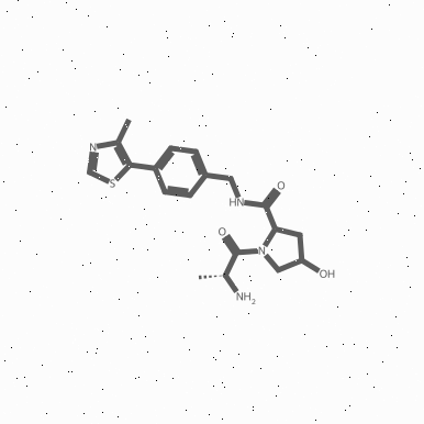 Cc1ncsc1-c1ccc(CNC(=O)C2CC(O)CN2C(=O)[C@@H](C)N)cc1